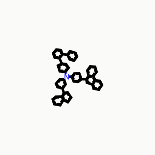 c1ccc(-c2ccccc2-c2ccc(N(c3ccc(-c4cc5ccccc5c5ccccc45)cc3)c3cccc(-c4cccc5ccccc45)c3)cc2)cc1